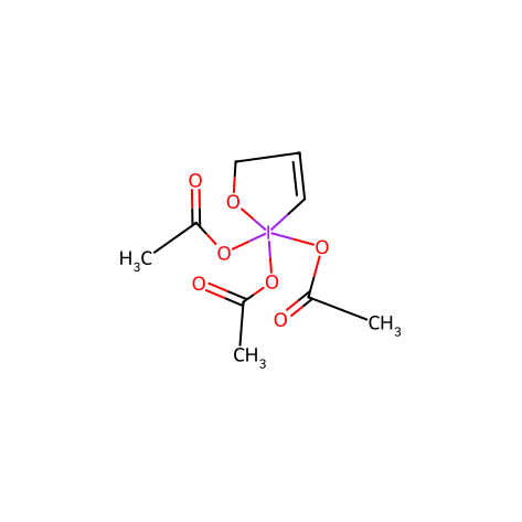 CC(=O)OI1(OC(C)=O)(OC(C)=O)C=CCO1